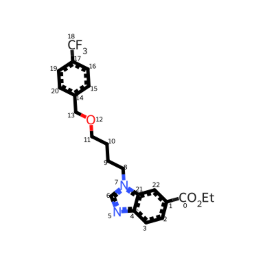 CCOC(=O)c1ccc2ncn(CCCCOCc3ccc(C(F)(F)F)cc3)c2c1